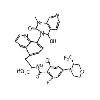 CN1C(=O)N(c2ccc(C[C@H](NC(=O)c3c(F)cc(N4CCOC[C@@H]4C(F)(F)F)cc3Cl)C(=O)O)c3cccnc23)C(O)c2ccncc21